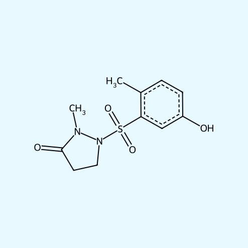 Cc1ccc(O)cc1S(=O)(=O)N1CCC(=O)N1C